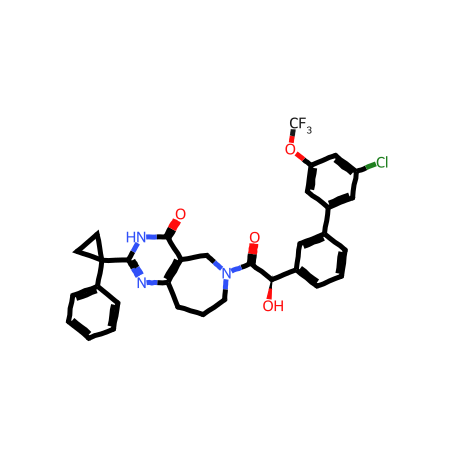 O=C([C@H](O)c1cccc(-c2cc(Cl)cc(OC(F)(F)F)c2)c1)N1CCCc2nc(C3(c4ccccc4)CC3)[nH]c(=O)c2C1